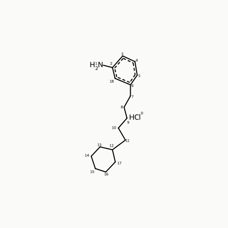 Cl.Nc1cccc(CCCCCC2CCCCC2)c1